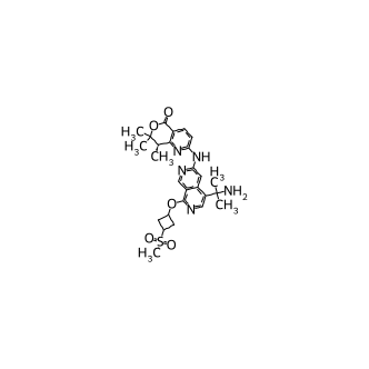 C[C@@H]1c2nc(Nc3cc4c(C(C)(C)N)cnc(OC5CC(S(C)(=O)=O)C5)c4cn3)ccc2C(=O)OC1(C)C